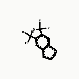 BrC(Br)(Br)c1[c]c2ccccc2cc1C(Br)(Br)Br